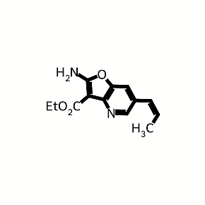 C/C=C\c1cnc2c(C(=O)OCC)c(N)oc2c1